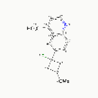 COC1CC(F)(c2ccc3nccc(C(=O)O)c3c2)C1